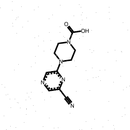 N#Cc1cncc(N2CCN(C(=O)O)CC2)n1